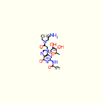 CC(C)C(=O)Nc1nc2c(c(=O)[nH]1)N=C[N+]2(CC(=O)N(C[C]=O)CCN)[C@@H]1O[C@H](C)[C@@H](O)[C@H]1O